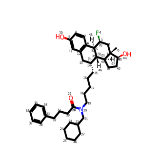 C[C@]12C[C@H](F)[C@@H]3c4ccc(O)cc4C[C@@H](CCCCCN(CC4CCCCC4)C(=O)CCCc4ccccc4)[C@H]3[C@@H]1CC[C@@H]2O